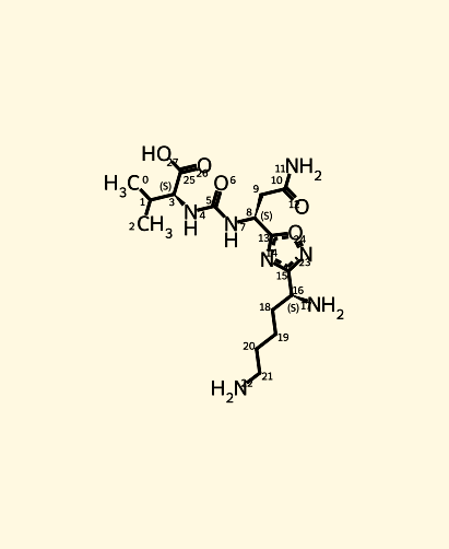 CC(C)[C@H](NC(=O)N[C@@H](CC(N)=O)c1nc([C@@H](N)CCCCN)no1)C(=O)O